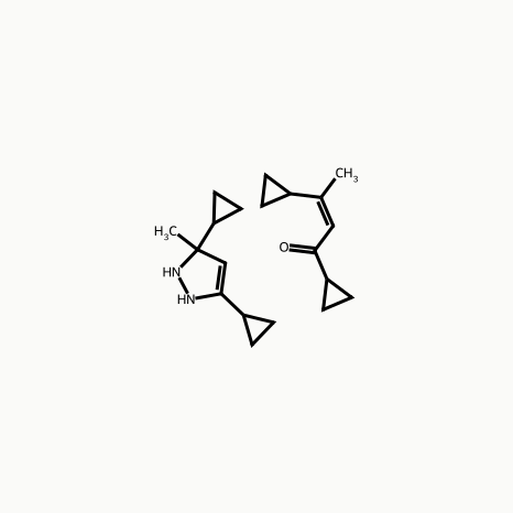 CC(=CC(=O)C1CC1)C1CC1.CC1(C2CC2)C=C(C2CC2)NN1